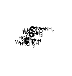 CN[C@@H]1[C@@H](O)[C@@H](O[C@H]2[C@H](NC(CO)CO)C[C@H](N)C([C@H]3OC(CNCC(O)CCN)=CC[C@H]3N)[C@@H]2O)OC[C@]1(C)O